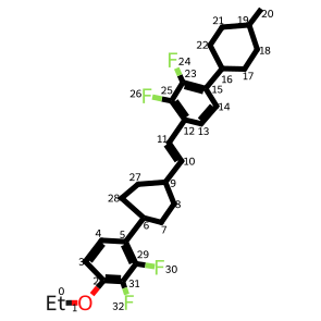 CCOc1ccc(C2CCC(/C=C/c3ccc(C4CCC(C)CC4)c(F)c3F)CC2)c(F)c1F